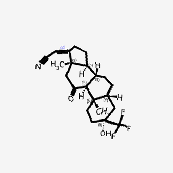 C[C@]12CC[C@](O)(C(F)(F)F)C[C@H]1CC[C@@H]1[C@@H]2C(=O)C[C@]2(C)/C(=C\C#N)CC[C@@H]12